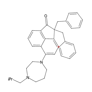 CC(C)CN1CCCN(c2ccc3c4c(cccc24)C(=O)C3(Cc2ccccc2)Cc2ccccc2)CC1